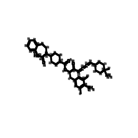 Cc1cc(C[C@@H](OC(=O)N2CCC(N3CCc4ccccc4NC3=O)CC2)C(=O)N=C=C=CN2CCC(C)(N)CC2)cc(C)c1N